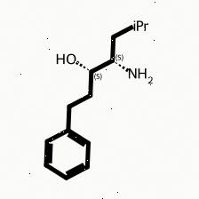 CC(C)C[C@H](N)[C@@H](O)CCc1ccccc1